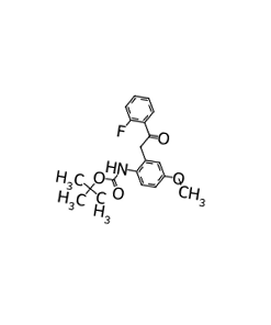 COc1ccc(NC(=O)OC(C)(C)C)c(CC(=O)c2ccccc2F)c1